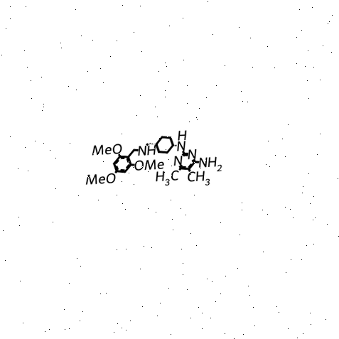 COc1cc(OC)c(CNC[C@H]2CC[C@@H](Nc3nc(C)c(C)c(N)n3)CC2)c(OC)c1